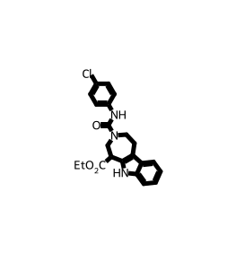 CCOC(=O)C1CN(C(=O)Nc2ccc(Cl)cc2)CCc2c1[nH]c1ccccc21